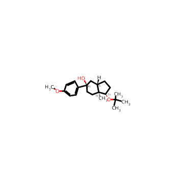 COc1ccc([C@@]2(O)CC[C@@]3(C)[C@@H](CC[C@@H]3OC(C)(C)C)C2)cc1